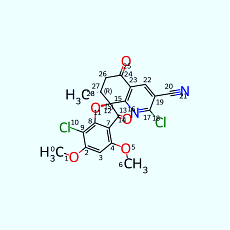 COc1cc(OC)c2c(c1Cl)O[C@]1(C2=O)c2nc(Cl)c(C#N)cc2C(=O)C[C@H]1C